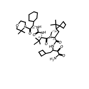 CC(C)(C)[C@H](NC(=O)N[C@H](C(=O)N1CCOCC1(C)C)C1CCCCC1)C(=O)N1C[C@]2(C[C@H]1C(=O)NC(CC1CCC1)C(=O)C(N)=O)C(C)(C)C21CCC1